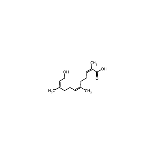 CC(=CCO)CCC=C(C)CCC=C(C)C(=O)O